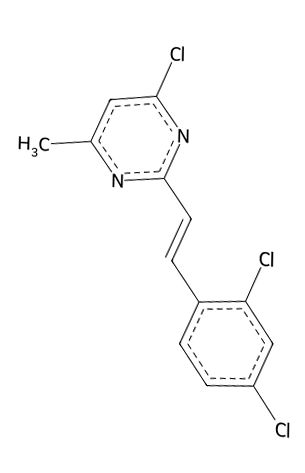 Cc1cc(Cl)nc(C=Cc2ccc(Cl)cc2Cl)n1